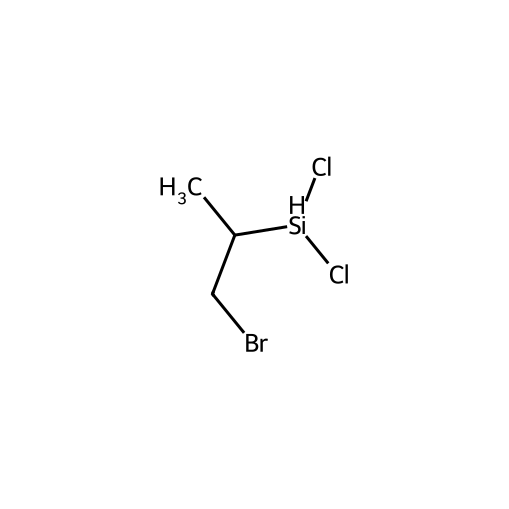 CC(CBr)[SiH](Cl)Cl